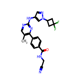 Cc1cnc(Nc2cnn(C3CC(F)(F)C3)c2)nc1-c1ccc(C(=O)NCC#N)cc1